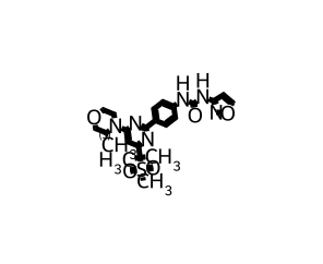 C[C@H]1COCCN1c1cc(C(C)(C)S(C)(=O)=O)nc(-c2ccc(NC(=O)Nc3ccon3)cc2)n1